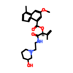 C=C(C)[C@H](OC(=O)c1cc(OC)cc2c(C)cccc12)C(=O)NCCN1CCCC(O)C1